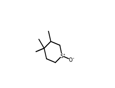 CC1C[S+]([O-])CCC1(C)C